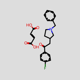 O=C(CC1CCN(Cc2ccccc2)C1)c1ccc(F)cc1.O=C(O)C=CC(=O)O